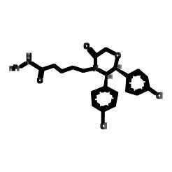 CCCNC(=O)CCCCN1C(=O)CO[C@@H](c2ccc(Cl)cc2)[C@H]1c1ccc(Cl)cc1